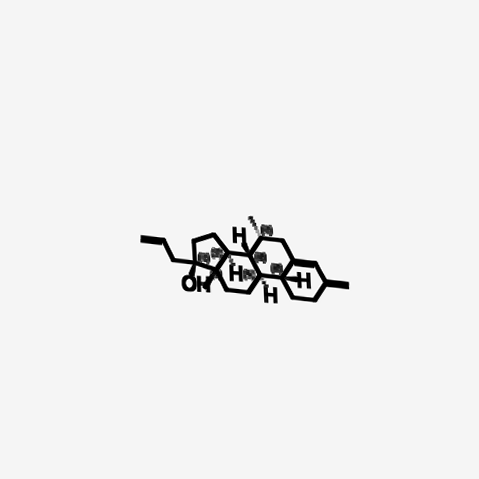 C=CC[C@]1(O)CC[C@H]2[C@H]3[C@H](CC[C@@]21C)[C@H]1CCC(=C)C=C1C[C@H]3C